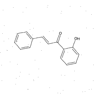 O=C(C=Cc1ccccc1)c1ccccc1O